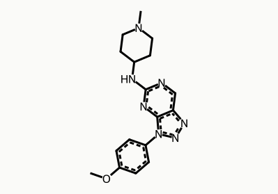 COc1ccc(-n2nnc3cnc(NC4CCN(C)CC4)nc32)cc1